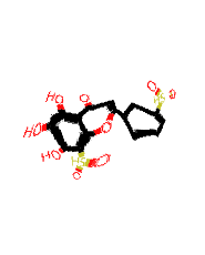 O=c1cc(-c2cccc([SH](=O)=O)c2)oc2c([SH](=O)=O)c(O)c(O)c(O)c12